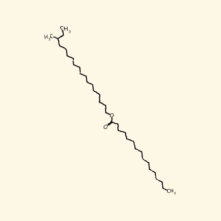 CCCCCCCCCCCCCCCC(=O)OCCCCCCCCCCCCCCCC(C)CC